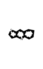 c1ccc2nc3ccsc3cc2c1